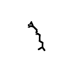 CC(C)CCCSCC1CS1